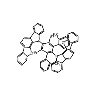 CC(C)c1c(-c2ccccc2C(F)(F)F)c(-n2c3ccccc3c3ccc4c5ccccc5oc4c32)c(-c2ccccc2C(F)(F)F)c(C(C)C)c1-n1c2ccccc2c2ccc3c4ccccc4oc3c21